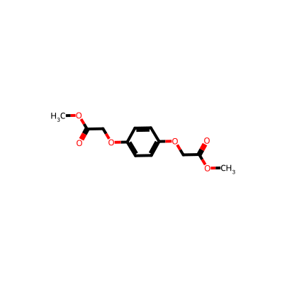 COC(=O)COc1ccc(OCC(=O)OC)cc1